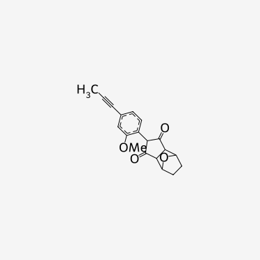 CC#Cc1ccc(C2C(=O)C3C4CCC(O4)C3C2=O)c(OC)c1